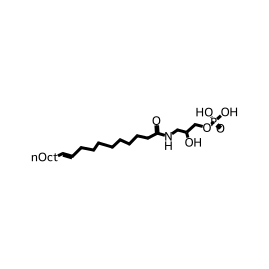 CCCCCCCCC=CCCCCCCCCC(=O)NCC(O)COP(=O)(O)O